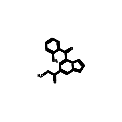 COC(=O)c1cc(C(=O)c2ccccc2C)n2cccc2c1